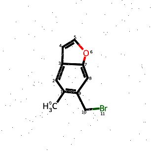 Cc1cc2ccoc2cc1CBr